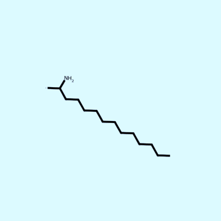 [CH2]C(N)CCCCCCCCCCCC